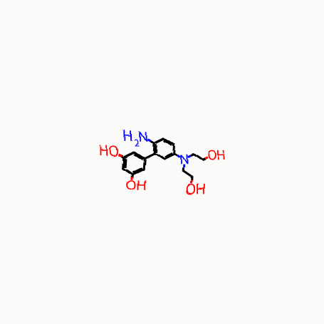 Nc1ccc(N(CCO)CCO)cc1-c1cc(O)cc(O)c1